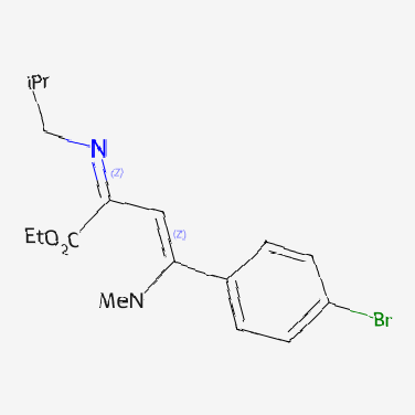 CCOC(=O)C(/C=C(\NC)c1ccc(Br)cc1)=N\CC(C)C